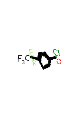 O=C(Cl)c1ccc(C(F)(F)C(F)(F)F)cc1